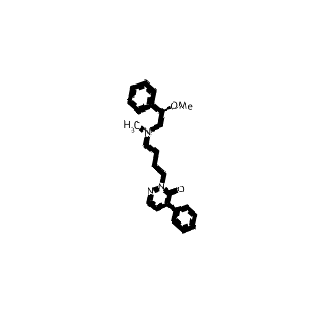 CO[C@@H](CN(C)CCCCn1nccc(-c2ccccc2)c1=O)c1ccccc1